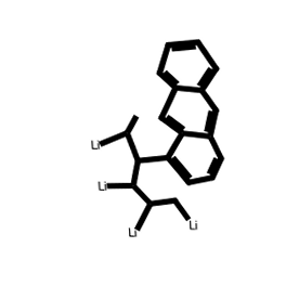 [Li][CH2][CH]([Li])[CH]([Li])C(c1cccc2cc3ccccc3cc12)[CH]([Li])C